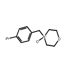 CC(C)c1ccc(C[N+]2([O-])CCOCC2)cc1